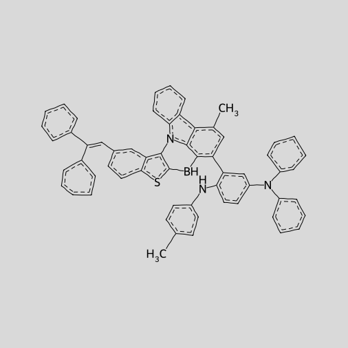 Cc1ccc(Nc2ccc(N(c3ccccc3)c3ccccc3)cc2-c2cc(C)c3c4ccccc4n4c3c2Bc2sc3ccc(C=C(c5ccccc5)c5ccccc5)cc3c2-4)cc1